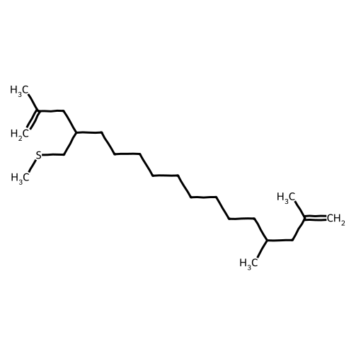 C=C(C)CC(C)CCCCCCCCCC(CSC)CC(=C)C